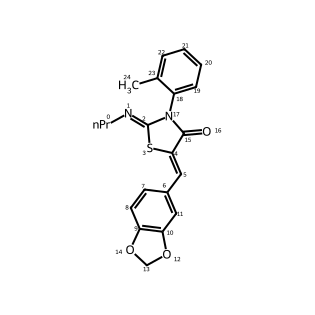 CCC/N=C1\S/C(=C\c2ccc3c(c2)OCO3)C(=O)N1c1ccccc1C